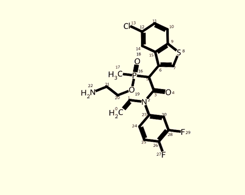 C=CN(C(=O)C(c1csc2ccc(Cl)cc12)P(C)(=O)OCCN)c1ccc(F)c(F)c1